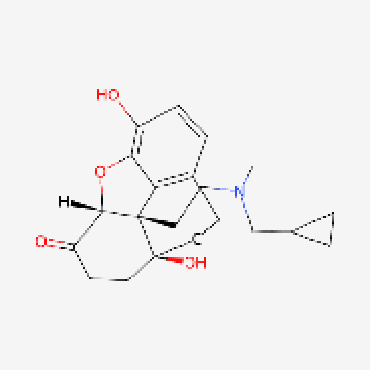 CN(CC[C@]12c3c4ccc(O)c3O[C@H]1C(=O)CC[C@@]2(O)CC4)CC1CC1